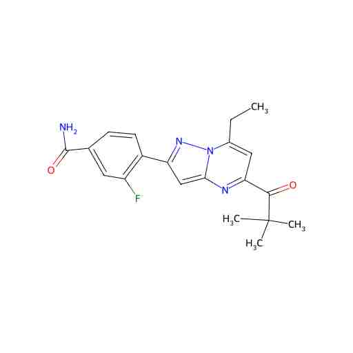 CCc1cc(C(=O)C(C)(C)C)nc2cc(-c3ccc(C(N)=O)cc3F)nn12